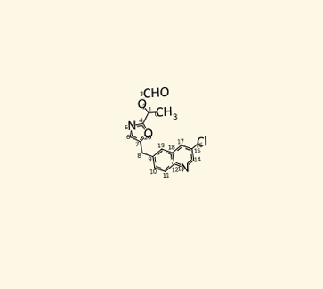 CC(OC=O)c1ncc(Cc2ccc3ncc(Cl)cc3c2)o1